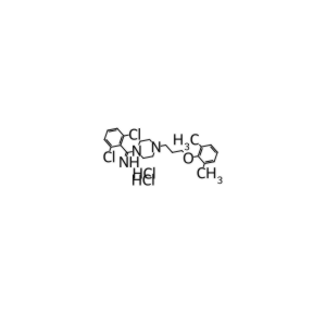 Cc1cccc(C)c1OCCCN1CCN(C(=N)c2c(Cl)cccc2Cl)CC1.Cl.Cl